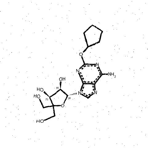 Nc1nc(OC2CCCC2)nc2c1ncn2[C@@H]1OC(CO)(CO)[C@@H](O)[C@H]1O